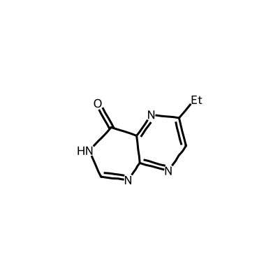 CCc1cnc2nc[nH]c(=O)c2n1